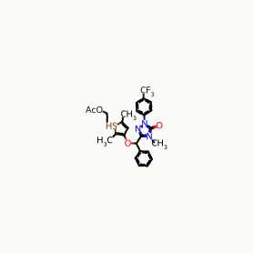 CC(=O)OCC[SH]1C(C)=CC(OC(c2ccccc2)c2nn(-c3ccc(C(F)(F)F)cc3)c(=O)n2C)=C1C